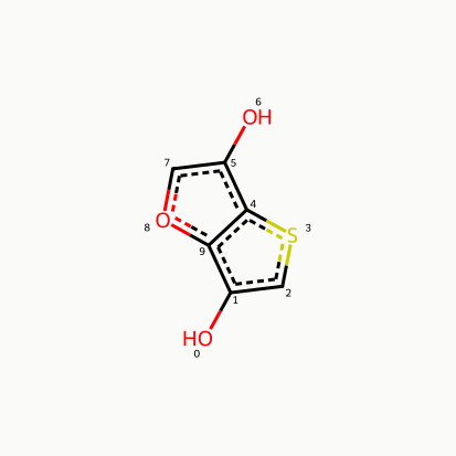 Oc1csc2c(O)coc12